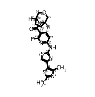 Cc1nc(C)c(-c2csc(Nc3ccc(C(=O)N4[C@@H]5CC[C@H]4COC5)c(F)n3)n2)s1